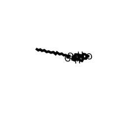 CCCCCCCCCCCCCCCC(=O)O[C@H]1CC[C@H]2[C@@H]3CCC4CC(=O)CC[C@]4(C)[C@H]3CC[C@]12C